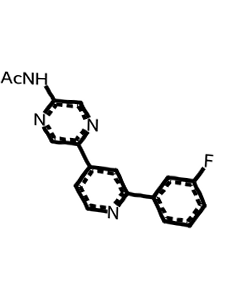 CC(=O)Nc1cnc(-c2ccnc(-c3cccc(F)c3)c2)cn1